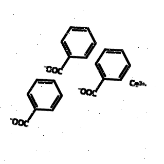 O=C([O-])c1ccccc1.O=C([O-])c1ccccc1.O=C([O-])c1ccccc1.[Ce+3]